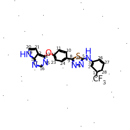 FC(F)(F)C1C=C(Nc2nnc(-c3ccc(Oc4ncnc5[nH]ccc45)cc3)s2)C=CC1